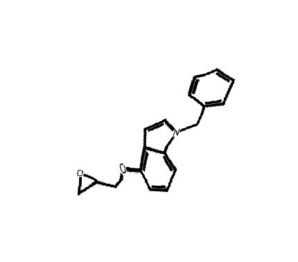 c1ccc(Cn2ccc3c(OCC4CO4)cccc32)cc1